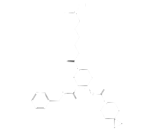 CN(C)CCCCCC(=O)N1CC[C@@H](NC(=O)N2CCC3(CC2)CC3)[C@@H](C(=O)NCc2ccccc2)C1